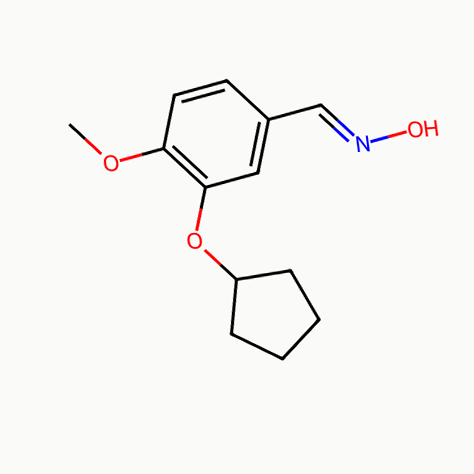 COc1ccc(/C=N/O)cc1OC1CCCC1